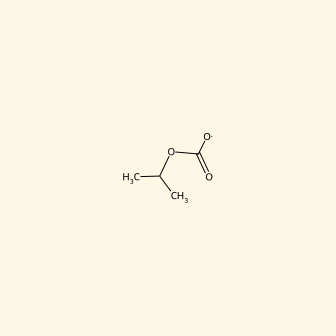 CC(C)OC([O])=O